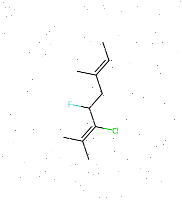 C/[C]=C(\C)CC(F)C(Cl)=C(C)C